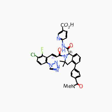 CNC(=O)c1ccc(-c2cccc3c2CC(C)(C)N(C(=O)/C=C/c2c(-n4cnnn4)ccc(Cl)c2F)[C@H]3C(=O)Nc2ccc(C(=O)O)cn2)cc1